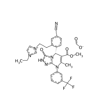 CCn1cc[n+](CCc2cc(C#N)ccc2[C@@H]2C(C(=O)OC)=C(C)N(c3cccc(C(F)(F)F)c3)c3n[nH]c(=O)n32)c1.O=C[O-]